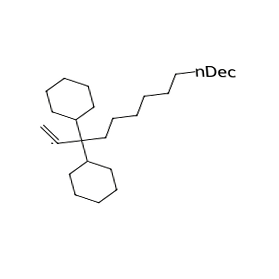 C=[C]C(CCCCCCCCCCCCCCCC)(C1CCCCC1)C1CCCCC1